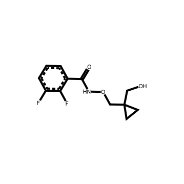 O=C(NOCC1(CO)CC1)c1cccc(F)c1F